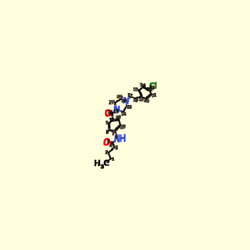 CCCCC(=O)Nc1ccc(C(=O)N2CCN(CCc3ccc(Cl)cc3)CC2)cc1